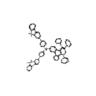 CC1(C)c2ccccc2-c2ccc(-c3ccc(N(c4ccc(-c5ccc6c(c5)C(C)(C)c5ccccc5-6)cc4)c4ccc5c(c4)c4ccccc4c4c(-c6ccccc6)cc(-c6ccccc6)c(-c6ccccc6)c54)cc3)cc21